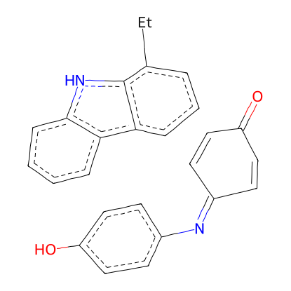 CCc1cccc2c1[nH]c1ccccc12.O=C1C=CC(=Nc2ccc(O)cc2)C=C1